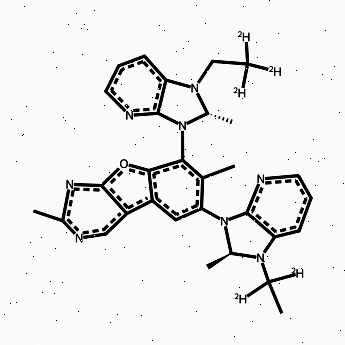 [2H]C([2H])([2H])CN1c2cccnc2N(c2c(C)c(N3c4ncccc4N(C([2H])([2H])C)[C@H]3C)cc3c2oc2nc(C)ncc23)[C@H]1C